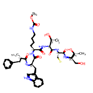 C[C@@H](Cc1ccccc1)C(=O)N[C@H](Cc1c[nH]c2ccccc12)C(=O)N[C@@H](CCCCNC(=O)OC(C)(C)C)C(=O)N[C@H](C(=O)N[C@@H](CS)C(=O)N[C@H](CO)[C@@H](C)O)[C@@H](C)O